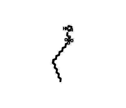 C1=NCCN1.CCCCCCCC/C=C\CCCCCCCCOS(=O)(=O)OCC